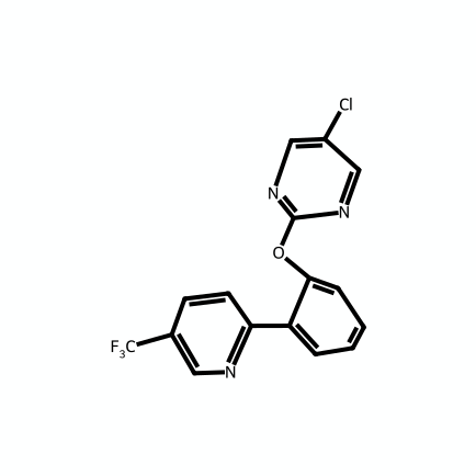 FC(F)(F)c1ccc(-c2ccccc2Oc2ncc(Cl)cn2)nc1